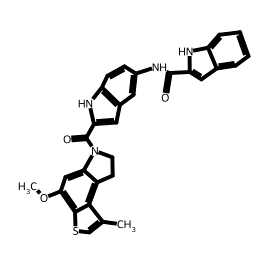 COc1cc2c(c3c(C)csc13)CCN2C(=O)c1cc2cc(NC(=O)c3cc4ccccc4[nH]3)ccc2[nH]1